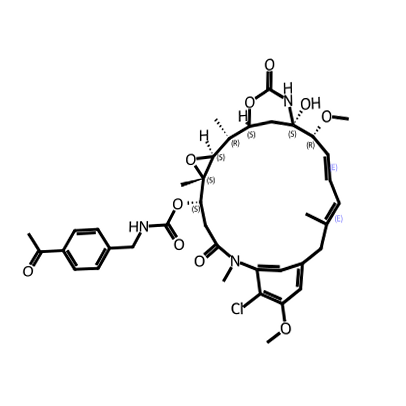 COc1cc2cc(c1Cl)N(C)C(=O)C[C@H](OC(=O)NCc1ccc(C(C)=O)cc1)[C@]1(C)O[C@H]1[C@H](C)[C@@H]1C[C@@](O)(NC(=O)O1)[C@H](OC)/C=C/C=C(\C)C2